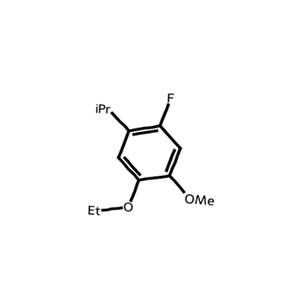 CCOc1cc(C(C)C)c(F)cc1OC